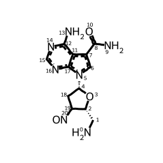 NC[C@H]1O[C@@H](n2cc(C(N)=O)c3c(N)ncnc32)CC1N=O